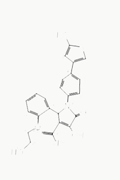 Cc1cc(-c2ccc(N3C(=O)C(O)=C(C(=O)C(C)C)C3c3ccccc3OCCO)cc2)cs1